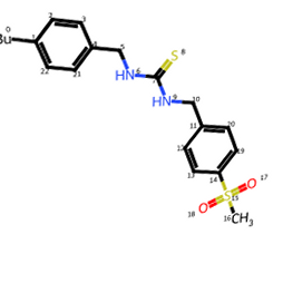 CC(C)(C)c1ccc(CNC(=S)NCc2ccc(S(C)(=O)=O)cc2)cc1